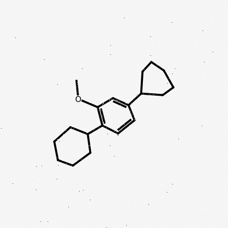 COc1cc(C2CCCCC2)c[c]c1C1CCCCC1